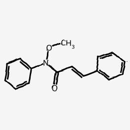 CON(C(=O)C=Cc1cc[c]cc1)c1ccccc1